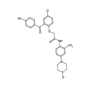 Cc1cc(N2CC[S+]([O-])CC2)ccc1NC(=O)COc1ccc(Cl)cc1C(=O)c1ccc(C#N)cc1